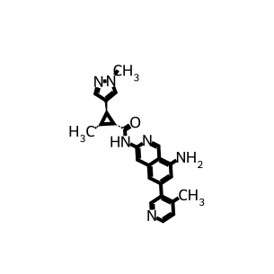 Cc1ccncc1-c1cc(N)c2cnc(NC(=O)[C@@H]3[C@H](C)[C@H]3c3cnn(C)c3)cc2c1